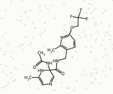 CC(=O)NC1(C(=O)NCc2ccc(OCC(F)(F)F)nc2C)C=NC=C(C)N1